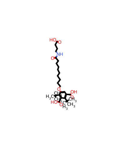 CC(C)(C)c1c(OCCCCCCCCCC(=O)NCCCC(=O)O)cc(C(=O)O)c(C(C)(C)C)c1C(=O)O